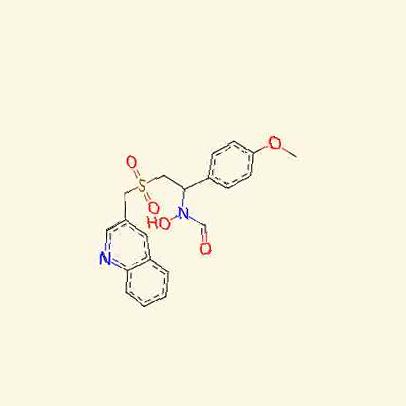 COc1ccc(C(CS(=O)(=O)Cc2cnc3ccccc3c2)N(O)C=O)cc1